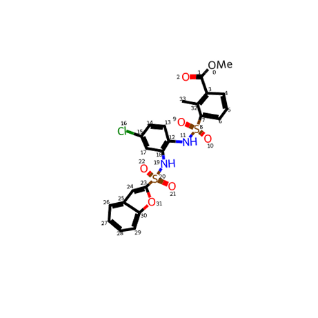 COC(=O)c1cccc(S(=O)(=O)Nc2ccc(Cl)cc2NS(=O)(=O)c2cc3ccccc3o2)c1C